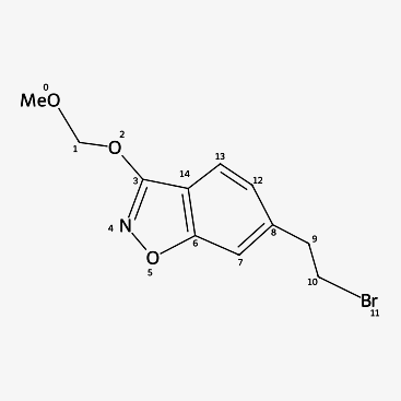 COCOc1noc2cc(CCBr)ccc12